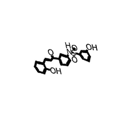 O=C(C=Cc1ccccc1O)c1cccc(NS(=O)(=O)c2cccc(O)c2)c1